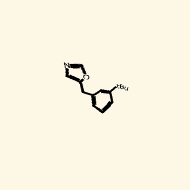 CC(C)(C)c1cccc(Cc2cnco2)c1